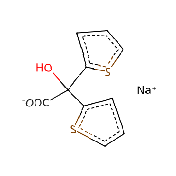 O=C([O-])C(O)(c1cccs1)c1cccs1.[Na+]